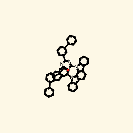 c1ccc(-c2cccc(-c3cccc(-n4c5ccccc5c5ccc6c7ccccc7n(-c7nc(-c8ccccc8)nc(-c8cccc(-c9ccccc9)c8)n7)c6c54)c3)c2)cc1